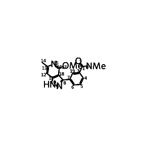 CNC(=O)c1cccc(-c2n[nH]c3cc(C)nc(OC)c23)c1